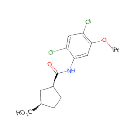 CC(C)Oc1cc(NC(=O)[C@H]2CC[C@@H](C(=O)O)C2)c(Cl)cc1Cl